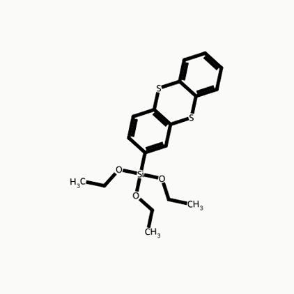 CCO[Si](OCC)(OCC)c1ccc2c(c1)Sc1ccccc1S2